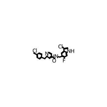 O=C(NCc1cc2c(Cl)c[nH]c2cc1F)c1ccnc(Cc2ccc(CCl)cc2)c1